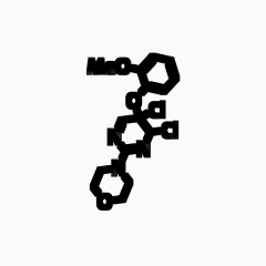 COc1ccccc1OC1(Cl)C=NC(N2CCOCC2)=NC1Cl